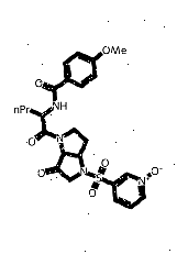 CCCC(NC(=O)c1ccc(OC)cc1)C(=O)N1CCC2C1C(=O)CN2S(=O)(=O)c1ccc[n+]([O-])c1